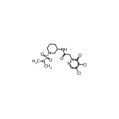 CN(C)S(=O)(=O)N1CCCC(NC(=O)Cn2ncc(Cl)c(Cl)c2=O)C1